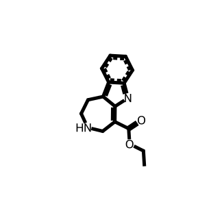 CCOC(=O)C1=C2N=c3ccccc3=C2CCNC1